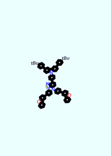 CC(C)(C)c1ccc(-c2ccc3c(c2)c2cc(-c4ccc(C(C)(C)C)cc4)ccc2n3-c2ccc(-c3ccc(N(c4ccc(-c5ccc6oc7ccccc7c6c5)cc4)c4ccc(-c5ccc6oc7ccccc7c6c5)cc4)c4nsnc34)cc2)cc1